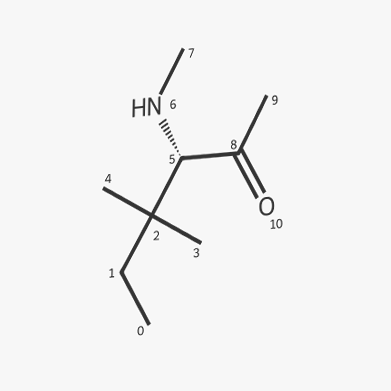 CCC(C)(C)[C@H](NC)C(C)=O